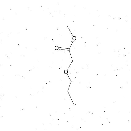 [CH2]CCOCC(=O)OC